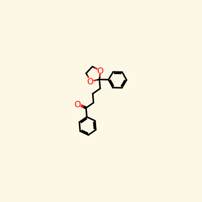 O=C(CCCC1(c2ccccc2)OCCO1)c1ccccc1